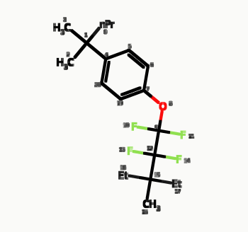 CCCC(C)(C)c1ccc(OC(F)(F)C(F)(F)C(C)(CC)CC)cc1